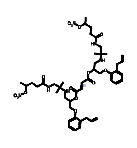 C=CCc1ccccc1OCC(CNC(C)(C)CNC(=O)CCC(C)O[N+](=O)[O-])OC(=O)/C=C/C(=O)OC(CNC(C)(C)CNC(=O)CCC(C)O[N+](=O)[O-])COc1ccccc1CC=C